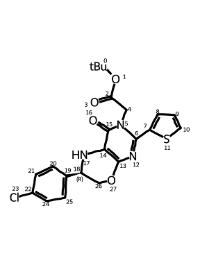 CC(C)(C)OC(=O)Cn1c(-c2cccs2)nc2c(c1=O)N[C@H](c1ccc(Cl)cc1)CO2